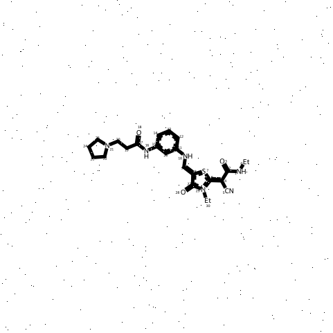 CCNC(=O)C(C#N)=c1sc(=CNc2cccc(NC(=O)CCN3CCCC3)c2)c(=O)n1CC